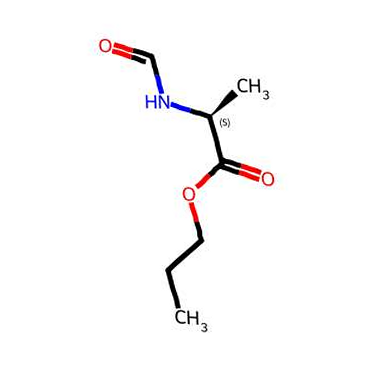 CCCOC(=O)[C@H](C)NC=O